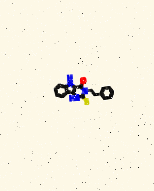 O=c1c2[nH]c3ccccc3c2[nH]c(=S)n1CCc1ccccc1